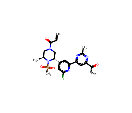 C=CC(=O)N1C[C@H](c2cc(Cl)nc(-c3cc(C(=O)NC)nc(C(F)(F)F)n3)c2)N(S(C)(=O)=O)[C@@H](C)C1